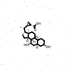 C[C@H]([C@H]1C[C@@H]1C(=O)O)[C@H]1CC[C@H]2[C@@H]3[C@H](O)C[C@@H]4C[C@H](O)CC[C@]4(C)[C@H]3CC[C@]12C